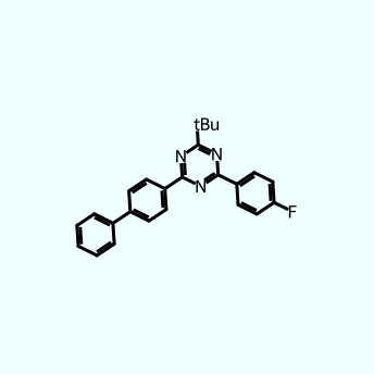 CC(C)(C)c1nc(-c2ccc(F)cc2)nc(-c2ccc(-c3ccccc3)cc2)n1